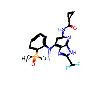 CP(C)(=O)c1ccccc1Nc1cc(NC(=O)C2CC2)nc2[nH]c(C(F)F)nc12